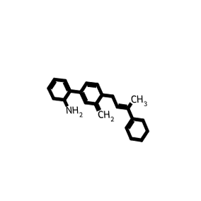 C=C1C=C(C2=CC=CCC2N)C=CC1C/C=C(\C)C1=CCCCC1